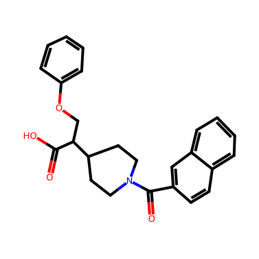 O=C(O)C(COc1ccccc1)C1CCN(C(=O)c2ccc3ccccc3c2)CC1